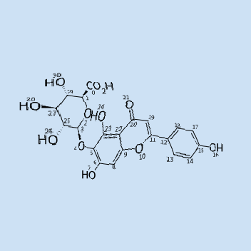 O=C(O)[C@H]1O[C@@H](Oc2c(O)cc3oc(-c4ccc(O)cc4)cc(=O)c3c2O)[C@H](O)[C@@H](O)[C@@H]1O